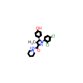 C[C@@H]1C(C(=O)NN2CCCCC2)=NN(c2ccc(Cl)cc2Cl)[C@@H]1c1ccc(O)cc1